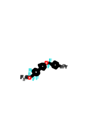 CCCc1ccc(C(F)(F)Oc2ccc(-c3cc(F)c(C(F)(F)OC(F)(F)F)c(F)c3)cc2)cc1